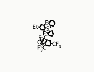 CCc1cc(CC)c([S+](c2ccccc2)c2ccccc2)c(CC)c1.O=S(=O)([O-])c1c(C(F)(F)F)cc(C(F)(F)F)cc1C(F)(F)F